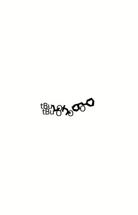 CC(CC(C)(C)OC(=O)C(CC(C)(C)C)C(C)(C)C)Oc1ccc2cc(-c3ccccc3)oc2c1